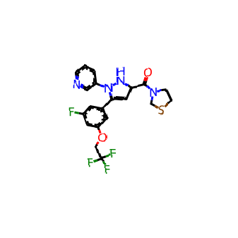 O=C(C1C=C(c2cc(F)cc(OCC(F)(F)F)c2)N(c2cccnc2)N1)N1CCSC1